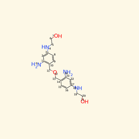 Nc1cc(NCCO)ccc1COCc1ccc(NCCO)cc1N